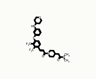 CN(C)C(=O)CC1CCN(C(=O)C=Cc2ccc(Sc3cccc(NC4CCOCC4)c3)c(C(F)(F)F)c2C(F)(F)F)CC1